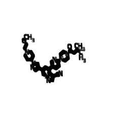 COCCN1CCC(n2cc(-c3cc(-c4ccc(N5CCN(C(=O)CC(C)C)CC5)nc4)c4c(C#N)cnn4c3)cn2)CC1